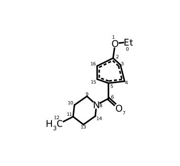 CCOc1ccc(C(=O)N2CCC(C)CC2)cc1